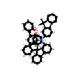 CC1(C)c2ccccc2-c2ccc(N(c3cccc4c3C3(c5ccccc5-c5ccccc53)c3ccccc3-4)c3cccc4c3oc3ccccc34)cc21